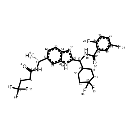 C[C@@H](NC(=O)CCC(F)(F)F)c1ccc2nc([C@@H](NC(=O)c3cc(F)ccc3F)C3CCC(F)(F)CC3)[nH]c2c1